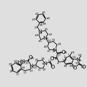 Cc1cc(C[C@@H](OC(=O)N2CCC(N3CCc4ccccc4NC3=O)CC2)C(=O)N2CCC(N3CCN(Cc4ccccc4)CC3)CC2)cc2oc(=O)n(C)c12